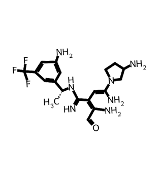 C[C@@H](NC(=N)C(/C=C(\N)N1CCC(N)C1)=C(/N)C=O)c1cc(N)cc(C(F)(F)F)c1